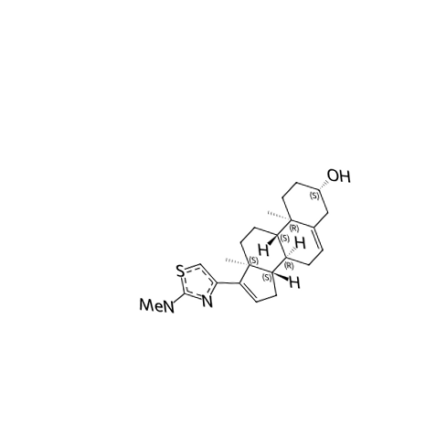 CNc1nc(C2=CC[C@H]3[C@@H]4CC=C5C[C@@H](O)CC[C@]5(C)[C@H]4CC[C@]23C)cs1